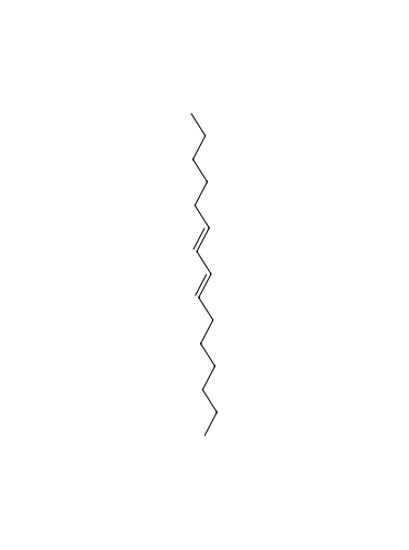 CCCCCC=CC=CCCCCCC